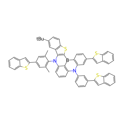 Cc1cc(-c2cc3ccccc3s2)cc(C)c1N1c2cccc3c2B(c2ccc(-c4cc5ccccc5s4)cc2N3c2cccc(-c3cc4ccccc4s3)c2)c2sc3ccc(C(C)(C)C)cc3c21